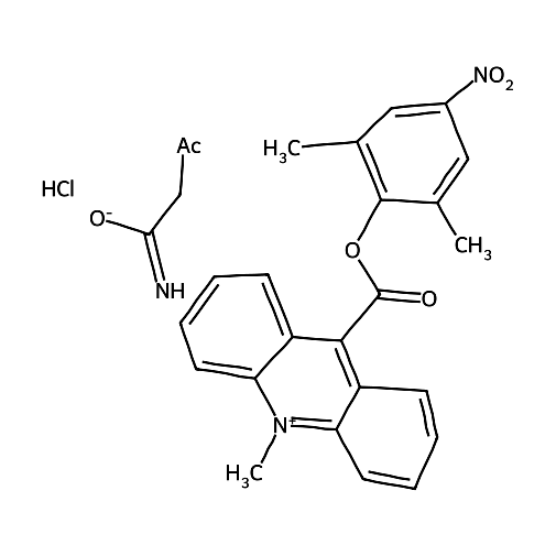 CC(=O)CC(=N)[O-].Cc1cc([N+](=O)[O-])cc(C)c1OC(=O)c1c2ccccc2[n+](C)c2ccccc12.Cl